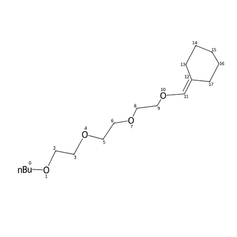 CCCCOCCOCCOCCOC=C1CCCCC1